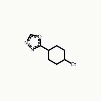 CCC1CCC(c2nnco2)CC1